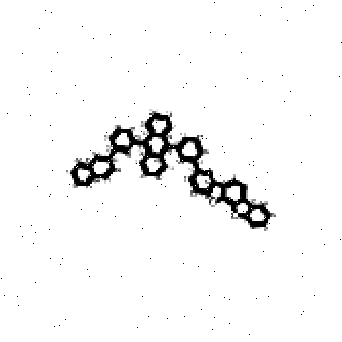 C1=CC2Oc3c(ccc4c3oc3ccc(-c5cccc(-c6c7ccccc7c(-c7cccc(-c8ccc9ccccc9c8)c7)c7ccccc67)c5)cc34)C2C=C1